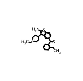 CCc1ccccc1C(=S)c1ccc2sc(N)c(C3CCN(CC)CC3)c2c1